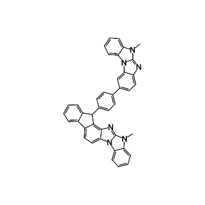 Cn1c2ccccc2n2c3cc(-c4ccc(C5c6ccccc6-c6ccc7c(nc8n(C)c9ccccc9n78)c65)cc4)ccc3nc12